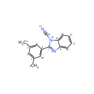 Cc1cc(C)cc(-c2nc3ccccc3n2C#N)c1